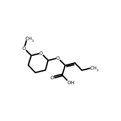 CCC=C(OC1CCCC(OC)O1)C(=O)O